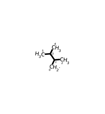 [CH2]C(C)[C](C)C